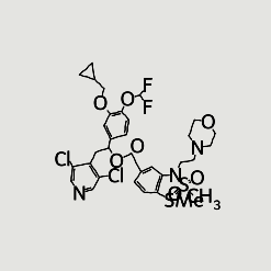 CSc1ccc(C(=O)OC(Cc2c(Cl)cncc2Cl)c2ccc(OC(F)F)c(OCC3CC3)c2)cc1N(CCN1CCOCC1)S(C)(=O)=O